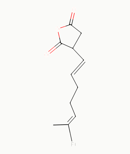 CC/C(C)=C/CCC=CC1CC(=O)OC1=O